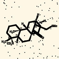 CSC[C@H]1C(=O)[C@]23CC[C@H]1C[C@H]2[C@]1(C)CCC[C@@](C)(C(=O)O)[C@H]1CC3